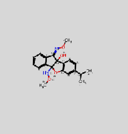 CON=C1c2ccccc2C2(NOC)Oc3cc(C(C)C)ccc3C12O